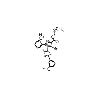 CSCOC(=O)c1nn(-c2ccccc2C)c(-c2nsc(-c3cccc(C)c3)n2)c1Br